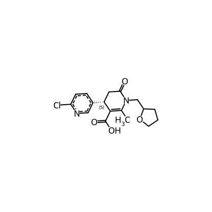 CC1=C(C(=O)O)[C@H](c2ccc(Cl)nc2)CC(=O)N1CC1CCCO1